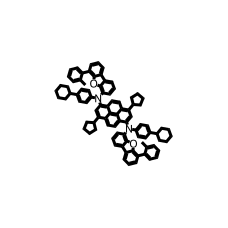 Cc1ccccc1-c1cccc2c1oc1c(N(c3ccc(C4CCCCC4)cc3)c3cc(C4CCCC4)c4ccc5c(N(c6ccc(C7CCCCC7)cc6)c6cccc7c6oc6c(-c8ccccc8C)cccc67)cc(C6CCCC6)c6ccc3c4c65)cccc12